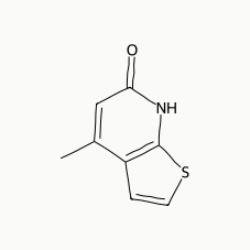 Cc1cc(=O)[nH]c2sccc12